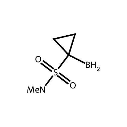 BC1(S(=O)(=O)NC)CC1